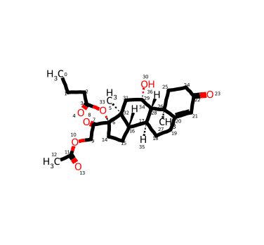 CCCC(=O)O[C@@]1(C(=O)COC(C)=O)CC[C@H]2[C@@H]3CCC4=CC(=O)CC[C@]4(C)[C@H]3[C@@H](O)C[C@@]21C